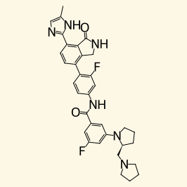 Cc1cnc(-c2ccc(-c3ccc(NC(=O)c4cc(F)cc(N5CCC[C@H]5CN5CCCC5)c4)cc3F)c3c2C(=O)NC3)[nH]1